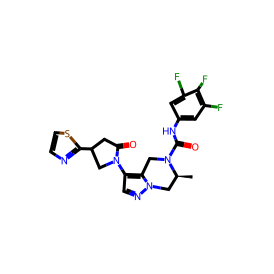 C[C@H]1Cn2ncc(N3CC(c4nccs4)CC3=O)c2CN1C(=O)Nc1cc(F)c(F)c(F)c1